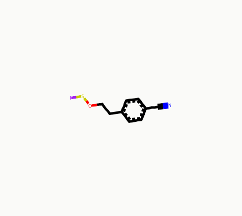 N#Cc1ccc(CCOSI)cc1